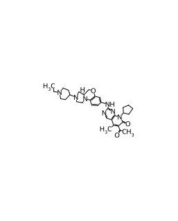 CCN1CCC(N2CCN3c4ccc(Nc5ncc6c(C)c(C(C)=O)c(=O)n(C7CCCC7)c6n5)cc4OC[C@@H]3C2)CC1